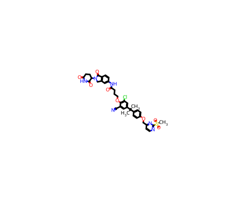 CC(C)(c1ccc(OCc2ccnc(S(C)(=O)=O)n2)cc1)c1cc(Cl)c(OCCCC(=O)Nc2ccc3c(c2)CN(C2CCC(=O)NC2=O)C3=O)c(C#N)c1